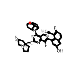 C#Cc1c(F)ccc2cc(O)cc(-c3ncc4c(N5C6CC7CC5CC(C6)O7)nc(OC[C@@]56CCCN5C[C@H](F)C6)nc4c3F)c12